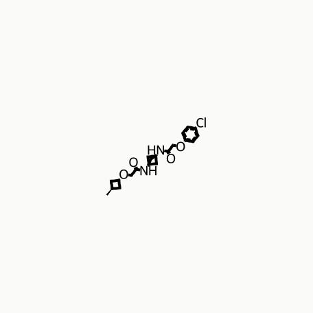 C[C@H]1C[C@@H](OCC(=O)NC23CC(NC(=O)COc4ccc(Cl)cc4)(C2)C3)C1